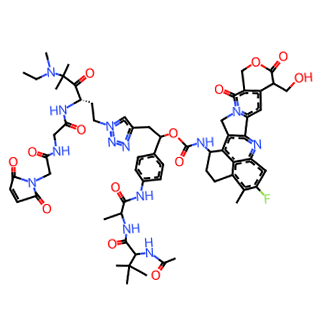 CCN(C)C(C)(C)C(=O)[C@H](CCn1cc(CC(OC(=O)NC2CCc3c(C)c(F)cc4nc5c(c2c34)Cn2c-5cc3c(c2=O)COC(=O)C3CO)c2ccc(NC(=O)C(C)NC(=O)C(NC(C)=O)C(C)(C)C)cc2)nn1)NC(=O)CNC(=O)CN1C(=O)C=CC1=O